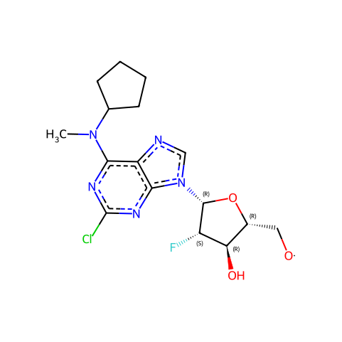 CN(c1nc(Cl)nc2c1ncn2[C@@H]1O[C@H](C[O])[C@@H](O)[C@@H]1F)C1CCCC1